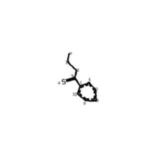 CCCC(=S)c1ccccc1